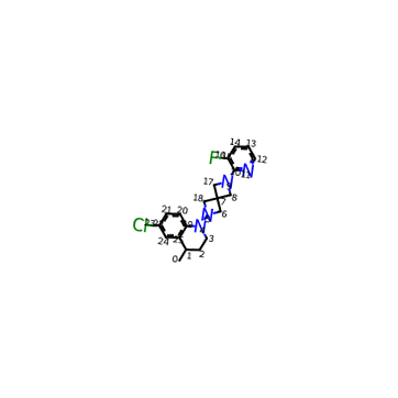 CC1CCN(N2CC3(CN(c4ncccc4F)C3)C2)c2ccc(Cl)cc21